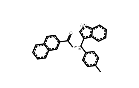 Cc1ccc([C@H](CC(=O)c2ccc3ccccc3c2)c2c[nH]c3ccccc23)cc1